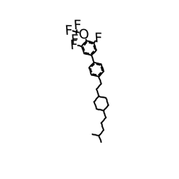 CC(C)CCCC1CCC(CCc2ccc(-c3cc(F)c(OC(F)(F)F)c(F)c3)cc2)CC1